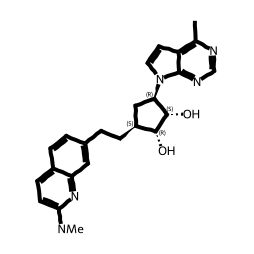 CNc1ccc2ccc(CC[C@H]3C[C@@H](n4ccc5c(C)ncnc54)[C@H](O)[C@@H]3O)cc2n1